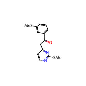 CSc1cccc(C(=O)Cc2ccnc(SC)n2)c1